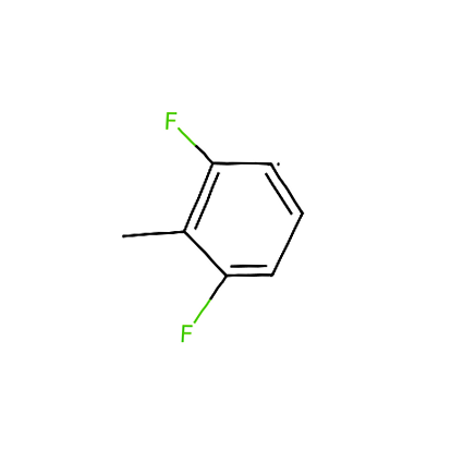 Cc1c(F)[c]ccc1F